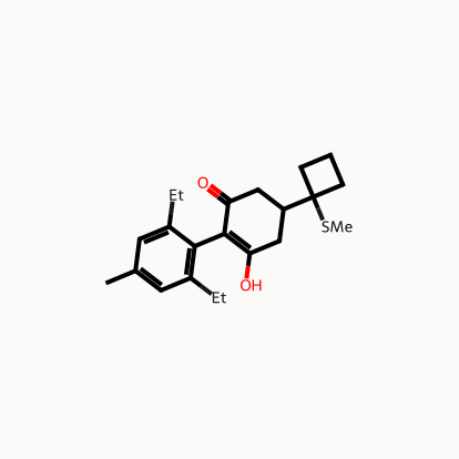 CCc1cc(C)cc(CC)c1C1=C(O)CC(C2(SC)CCC2)CC1=O